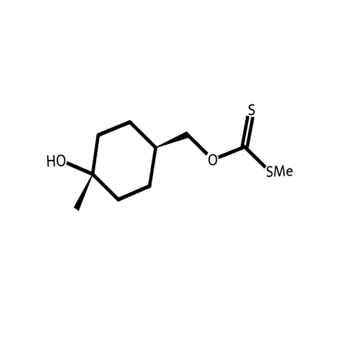 CSC(=S)OC[C@H]1CC[C@](C)(O)CC1